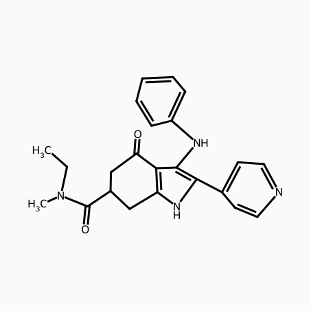 CCN(C)C(=O)C1CC(=O)c2c([nH]c(-c3ccncc3)c2Nc2ccccc2)C1